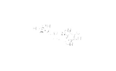 O=c1[nH]c2nccn2c2c1ncn2[C@H]1CC[C@@H](COP(=O)(O)S)O1